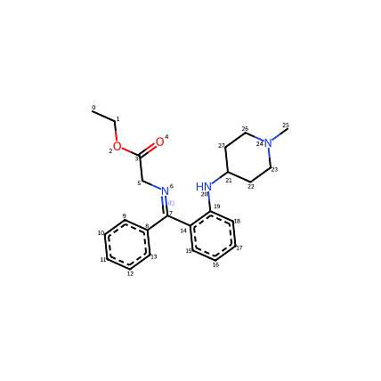 CCOC(=O)C/N=C(\c1ccccc1)c1ccccc1NC1CCN(C)CC1